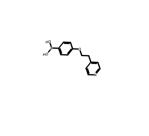 OB(O)c1ccc(OCCc2ccncc2)cc1